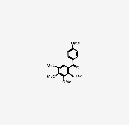 COc1ccc(C(=O)c2cc(OC)c(OC)c(OC)c2NC(C)=O)cc1